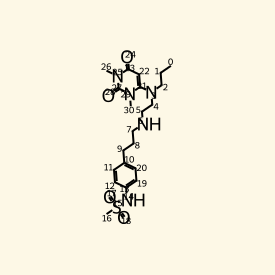 CCCN(CCNCCCc1ccc(NS(C)(=O)=O)cc1)c1cc(=O)n(C)c(=O)n1C